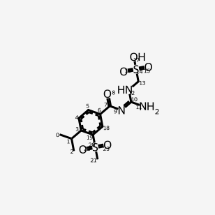 CC(C)c1ccc(C(=O)N=C(N)NCS(=O)(=O)O)cc1S(C)(=O)=O